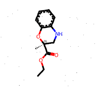 CCOC(=O)[C@]1(C)CNc2ccccc2O1